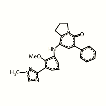 COc1c(Nc2cc(-c3ccccc3)c(=O)n3c2CCC3)cccc1-c1ncn(C)n1